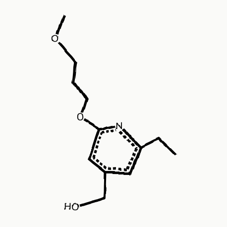 CCc1cc(CO)cc(OCCCOC)n1